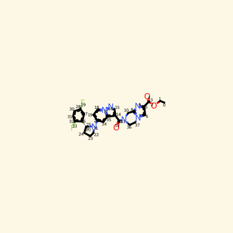 CCOC(=O)c1cn2c(n1)CN(C(=O)c1cnn3ccc(N4CCC[C@@H]4c4cc(F)ccc4F)cc13)CC2